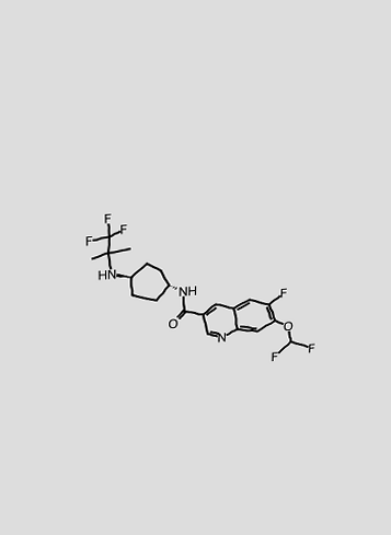 CC(C)(N[C@H]1CC[C@H](NC(=O)c2cnc3cc(OC(F)F)c(F)cc3c2)CC1)C(F)(F)F